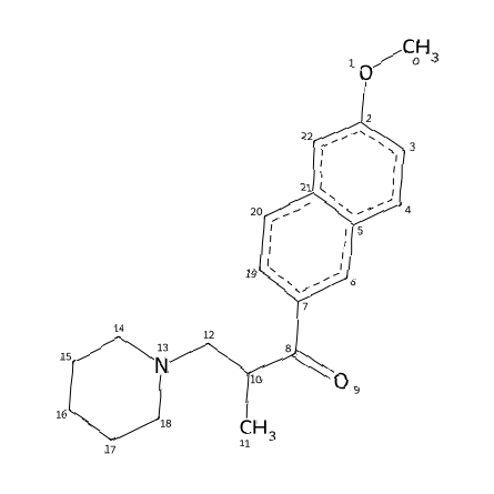 COc1ccc2cc(C(=O)C(C)CN3CCCCC3)ccc2c1